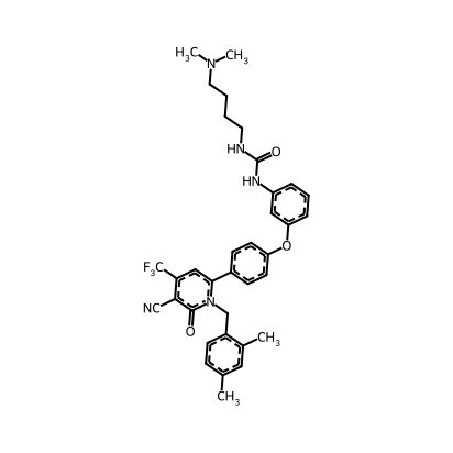 Cc1ccc(Cn2c(-c3ccc(Oc4cccc(NC(=O)NCCCCN(C)C)c4)cc3)cc(C(F)(F)F)c(C#N)c2=O)c(C)c1